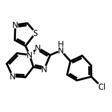 Clc1ccc(NC2=N[N+]3(c4cncs4)C=CN=CC3=N2)cc1